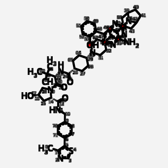 Cc1ncsc1-c1ccc(CNC(=O)[C@@H]2C[C@@H](O)CN2C(=O)[C@@H](NC(=O)[C@H]2CC[C@@H](N3CCN(c4cnc(N5C6CCC5CN(c5cc(-c7ccccc7O)nnc5N)C6)nc4)CC3)CC2)C(C)(C)C)cc1